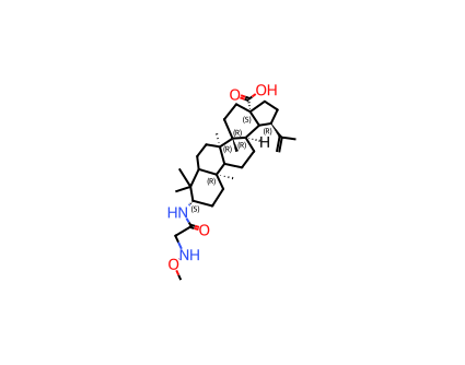 C=C(C)[C@@H]1CC[C@]2(C(=O)O)CC[C@]3(C)[C@H](CCC4[C@@]5(C)CC[C@H](NC(=O)CNOC)C(C)(C)C5CC[C@]43C)C12